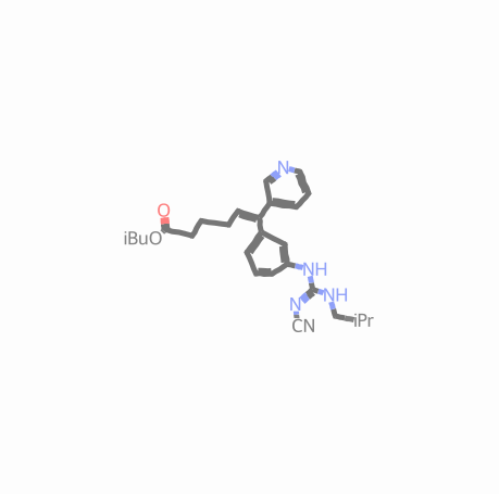 CC(C)CNC(=NC#N)Nc1cccc(/C(=C\CCCC(=O)OCC(C)C)c2cccnc2)c1